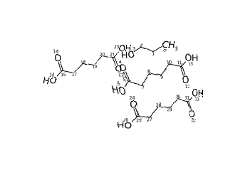 CCCO.O=C(O)CCCCC(=O)O.O=C(O)CCCCC(=O)O.O=C(O)CCCCC(=O)O